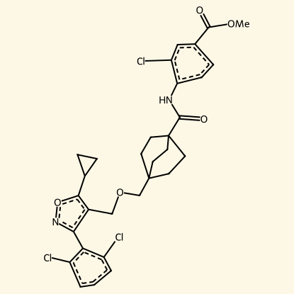 COC(=O)c1ccc(NC(=O)C23CCC(COCc4c(-c5c(Cl)cccc5Cl)noc4C4CC4)(CC2)CC3)c(Cl)c1